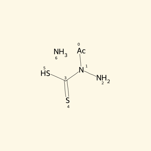 CC(=O)N(N)C(=S)S.N